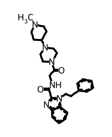 CN1CCC(N2CCN(C(=O)CNC(=O)c3nc4ccccc4n3CCc3ccccc3)CC2)CC1